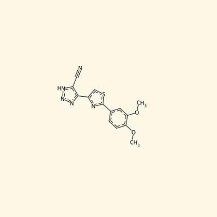 COc1ccc(-c2nc(-c3nn[nH]c3C#N)cs2)cc1OC